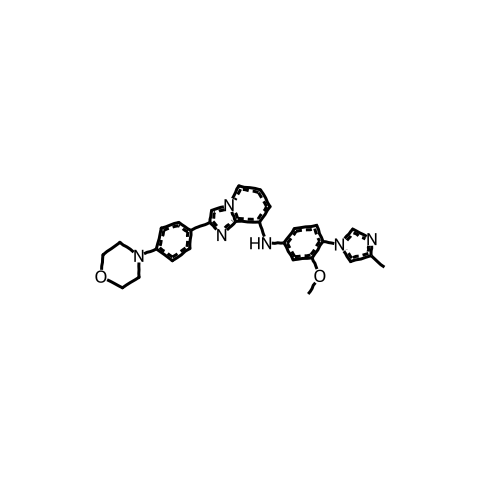 COc1cc(Nc2cccn3cc(-c4ccc(N5CCOCC5)cc4)nc23)ccc1-n1cnc(C)c1